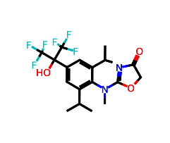 CC(C)c1cc(C(O)(C(F)(F)F)C(F)(F)F)cc(C(C)C)c1N(C)C1=NC(=O)CO1